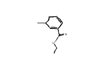 CCOC(=O)C1=CC(C)CC=C1